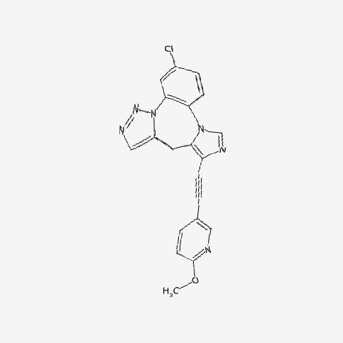 COc1ccc(C#Cc2ncn3c2Cc2cnnn2-c2cc(Cl)ccc2-3)cn1